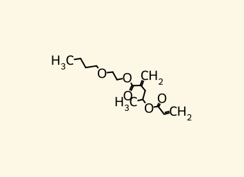 C=CC(=O)OC(C)CC(=C)C(=O)OCCOCCCC